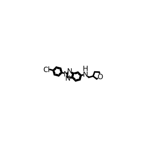 Clc1ccc(-n2nc3ccc(NCC4CCOC4)cc3n2)cc1